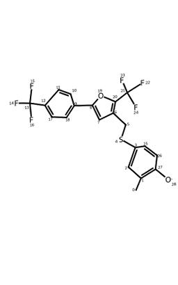 Cc1cc(SCc2cc(-c3ccc(C(F)(F)F)cc3)oc2C(F)(F)F)ccc1[O]